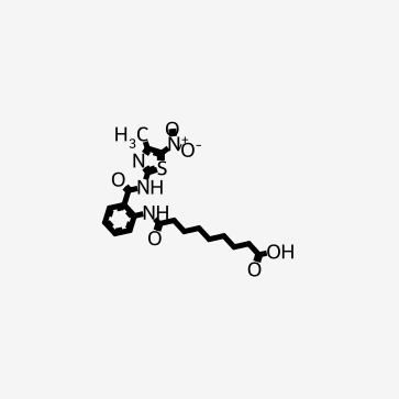 Cc1nc(NC(=O)c2ccccc2NC(=O)CCCCCCCC(=O)O)sc1[N+](=O)[O-]